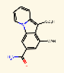 COc1cc(C(N)=O)cc2c1c(C(=O)O)c1ccccn12